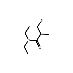 CCN(CC)C(=O)C(C)C[S]